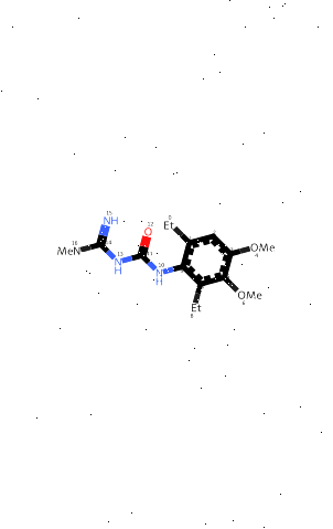 CCc1cc(OC)c(OC)c(CC)c1NC(=O)NC(=N)NC